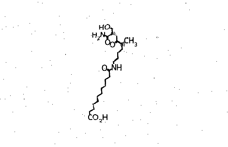 C[C@H](CCCCNC(=O)CCCCCCCCCCC(=O)O)C(=O)C[C@@H](CO)C(N)=O